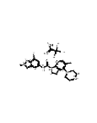 Cc1cnc2c(c1N1CCNCC1)CCN2C(=O)Nc1cc(F)c2nn(C)cc2c1.O=C(O)C(F)(F)F